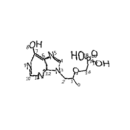 CC(Cn1cnc2c(O)ncnc21)OCP(=O)(O)O